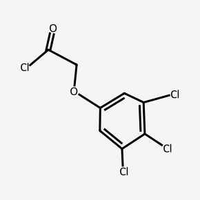 O=C(Cl)COc1cc(Cl)c(Cl)c(Cl)c1